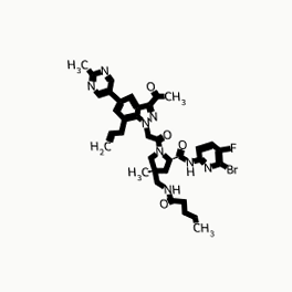 C=CCc1cc(-c2cnc(C)nc2)cc2c(C(C)=O)nn(CC(=O)N3C[C@](C)(CNC(=O)CCCC)C[C@H]3C(=O)Nc3ccc(F)c(Br)n3)c12